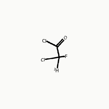 [2H]C(F)(Cl)C(=O)Cl